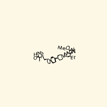 CCc1cc(N2CCC(c3ccc(OCCN4CCNC(=O)C4C)cc3)CC2)nn2c(OC)nnc12